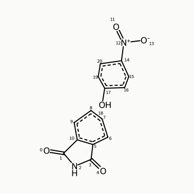 O=C1NC(=O)c2ccccc21.O=[N+]([O-])c1ccc(O)cc1